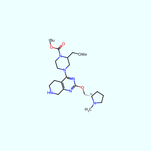 COCC1CN(c2nc(OC[C@@H]3CCCN3C)nc3c2CCNC3)CCN1C(=O)OC(C)(C)C